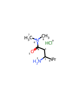 CC(C)C(N)CC(=O)N(C)C.Cl